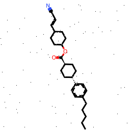 CCCCCc1ccc([C@H]2CC[C@H](C(=O)OC3CCC(/C=C/C#N)CC3)CC2)cc1